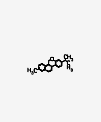 Cc1ccc2c3c(ccc2c1)-c1ccc(C(C)C)cc1OC3